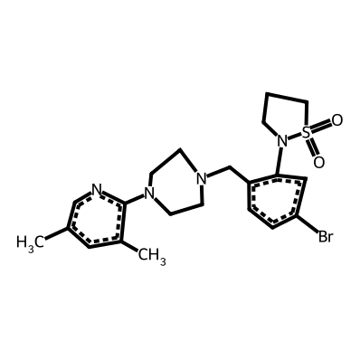 Cc1cnc(N2CCN(Cc3ccc(Br)cc3N3CCCS3(=O)=O)CC2)c(C)c1